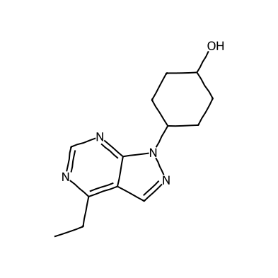 CCc1ncnc2c1cnn2C1CCC(O)CC1